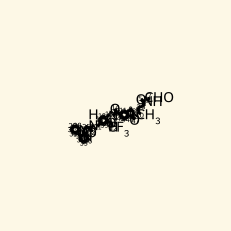 CC(CCC(=O)NC=O)N1Cc2cc(C(=O)NCc3ccc(CNC(=O)Cn4c5ccccc5c5cccnc54)cc3OC(F)(F)F)ccc2C1=O